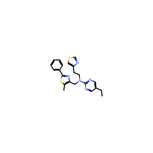 CCc1cnc(N(CCc2cs[c]n2)Cc2nc(-c3ccccc3)sc2C)nc1